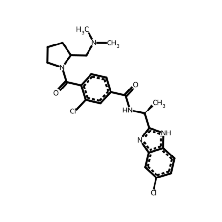 C[C@H](NC(=O)c1ccc(C(=O)N2CCCC2CN(C)C)c(Cl)c1)c1nc2cc(Cl)ccc2[nH]1